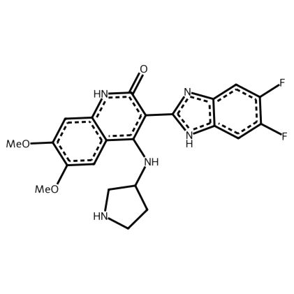 COc1cc2[nH]c(=O)c(-c3nc4cc(F)c(F)cc4[nH]3)c(NC3CCNC3)c2cc1OC